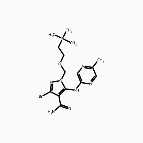 Cc1cnc(Nc2c(C(N)=O)c(Br)nn2COCC[Si](C)(C)C)cn1